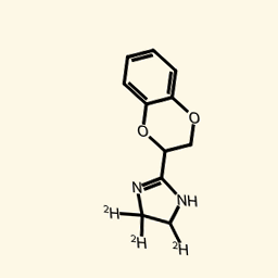 [2H]C1NC(C2COc3ccccc3O2)=NC1([2H])[2H]